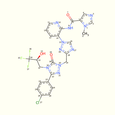 Cn1cncc1C(=O)Nc1ncccc1-n1cnc(Cn2nc(-c3ccc(Cl)cc3)n(C[C@H](O)C(F)(F)F)c2=O)n1